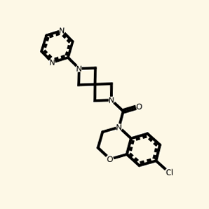 O=C(N1CC2(C1)CN(c1cnccn1)C2)N1CCOc2cc(Cl)ccc21